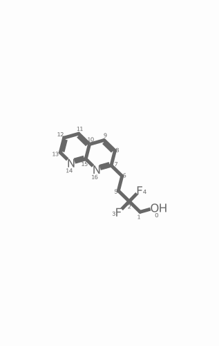 OCC(F)(F)CCc1ccc2cccnc2n1